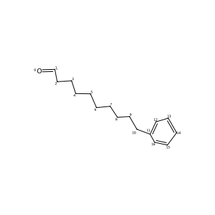 O=[C]CCCCCCCCCc1ccccc1